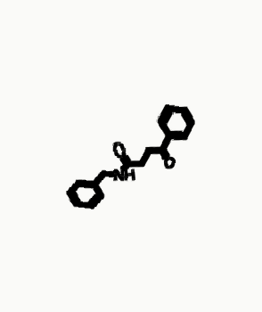 O=C(CCC(=O)c1ccccc1)NCc1ccccc1